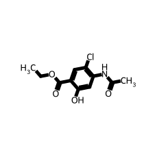 CCOC(=O)c1cc(Cl)c(NC(C)=O)cc1O